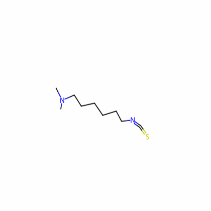 CN(C)CCCCCCN=C=S